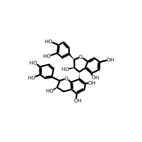 Oc1cc(O)c2c(c1)O[C@H](c1ccc(O)c(O)c1)[C@H](O)[C@H]2c1c(O)cc(O)c2c1OC(c1ccc(O)c(O)c1)[C@H](O)C2